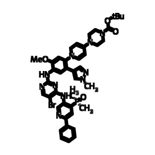 COc1cc(N2C=CC(N3CCN(C(=O)OC(C)(C)C)CC3)=CC2)c(-c2cnn(C)c2)cc1Nc1ncc(Br)c(Nc2cnc(-c3ccccc3)cc2P(C)(C)=O)n1